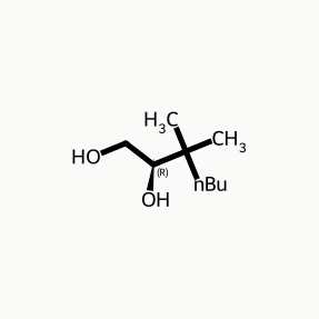 CCCCC(C)(C)[C@@H](O)CO